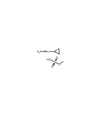 CCCCCC1CC1.COS(=O)(=O)O.CP